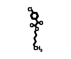 CCCCCCOC(=O)C(=O)c1ccc(Cl)cc1